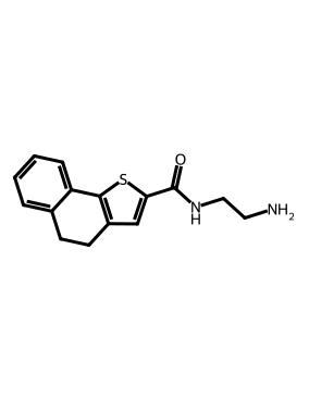 NCCNC(=O)c1cc2c(s1)-c1ccccc1CC2